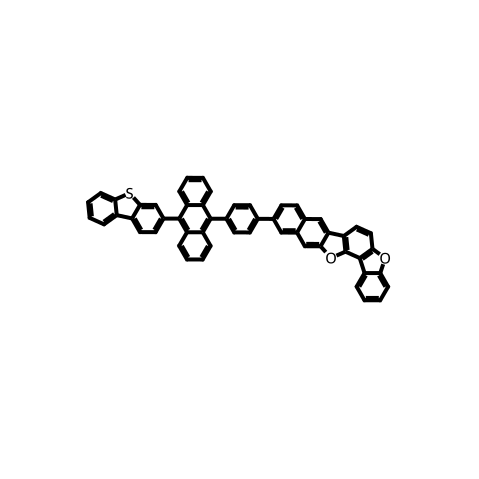 c1ccc2c(c1)oc1ccc3c4cc5ccc(-c6ccc(-c7c8ccccc8c(-c8ccc9c(c8)sc8ccccc89)c8ccccc78)cc6)cc5cc4oc3c12